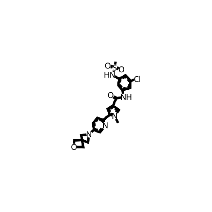 Cn1cc(C(=O)Nc2cc(Cl)cc(NS(C)(=O)=O)c2)cc1-c1ccc(N2CC3(COC3)C2)cn1